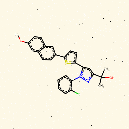 CCOc1ccc2cc(-c3ccc(-c4cc(C(C)(C)O)nn4-c4ccccc4Cl)s3)ccc2c1